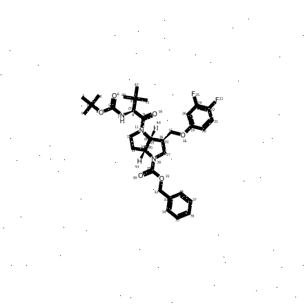 CC(C)(C)OC(=O)N[C@H](C(=O)N1CC[C@@H]2[C@H]1[C@@H](COc1ccc(F)c(F)c1)CN2C(=O)OCc1ccccc1)C(C)(C)C